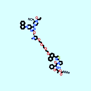 C=CC(=O)N1CCN(c2nc(OC[C@@H]3C[C@@H](OCCOCCOCCOc4ccc(-c5csc([C@@H]6CCCN6C(=O)C(NC(=O)C(C)OC(=O)NC)C6CCCCC6)n5)c5ccccc45)CN3C)nc3c2CCN(c2cccc4ccccc24)C3)C[C@@H]1CC#N